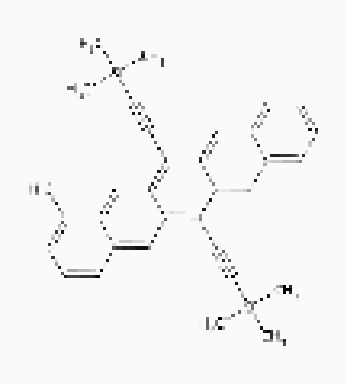 Cc1cccc2cc3c(C#C[Si](C)(C)C)c4cc5ccccc5cc4c(C#C[Si](C)(C)C)c3cc12